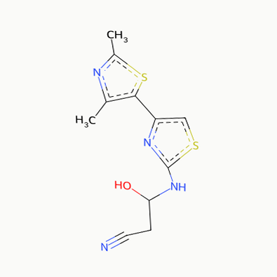 Cc1nc(C)c(-c2csc(NC(O)CC#N)n2)s1